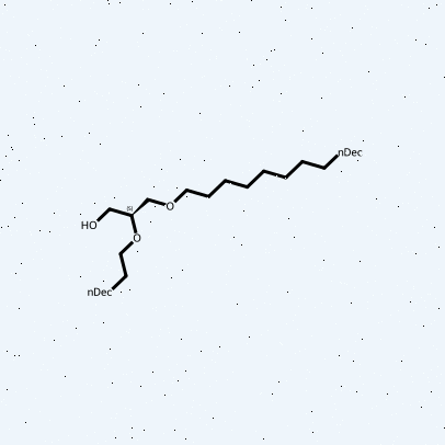 CCCCCCCCCCCCCCCCCCOC[C@H](CO)OCCCCCCCCCCCC